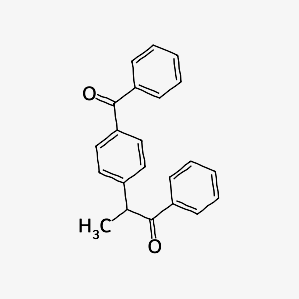 CC(C(=O)c1ccccc1)c1ccc(C(=O)c2ccccc2)cc1